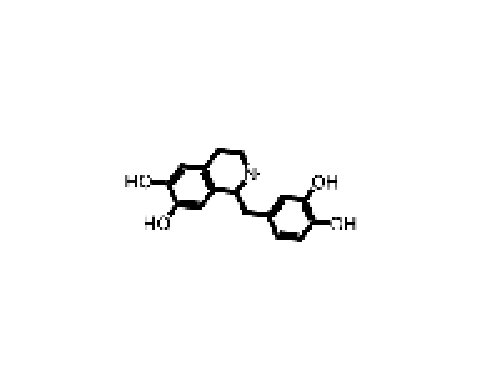 Oc1ccc(CC2[N]CCc3cc(O)c(O)cc32)cc1O